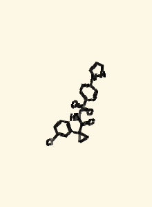 O=C(NS(=O)(=O)c1ccc(-n2cccn2)cc1)C1(c2cccc(Cl)c2)CC1